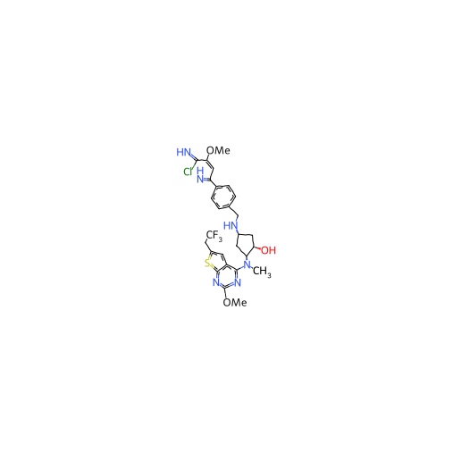 CO/C(=C/C(=N)c1ccc(CN[C@H]2C[C@@H](O)[C@@H](N(C)c3nc(OC)nc4sc(CC(F)(F)F)cc34)C2)cc1)C(=N)Cl